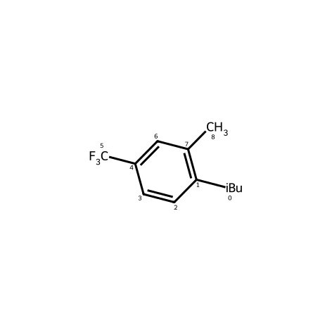 CCC(C)c1ccc(C(F)(F)F)cc1C